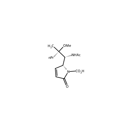 CCC[C@](C)(OC)[C@H](NC(C)=O)[C@H]1C=CC(=O)N1C(=O)O